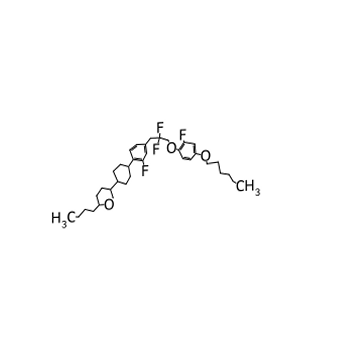 CCCCCCOc1ccc(OCC(F)(F)Cc2ccc(C3CCC(C4CCC(CCCC)OC4)CC3)c(F)c2)c(F)c1